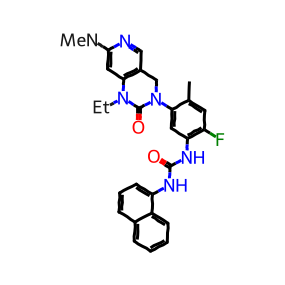 CCN1C(=O)N(c2cc(NC(=O)Nc3cccc4ccccc34)c(F)cc2C)Cc2cnc(NC)cc21